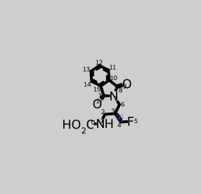 O=C(O)NC/C(=C/F)CN1C(=O)c2ccccc2C1=O